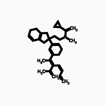 C=C/C=C\C(C(=C)C)=C(\C)C1=CC(C2(CCN(C)C(=C)C3CC3)CC3=C(CCC=C3)C2)=CCC1